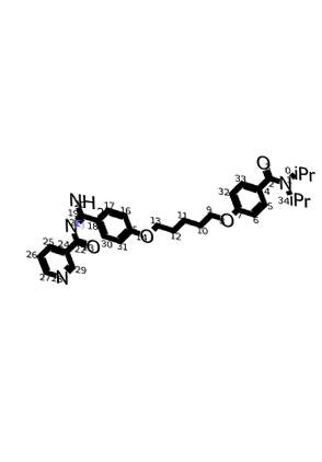 CC(C)N(C(=O)c1ccc(OCCCCCOc2ccc(/C(N)=N\C(=O)c3cccnc3)cc2)cc1)C(C)C